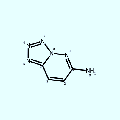 Nc1ccc2nnnn2n1